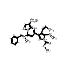 C=Nc1c(/C=C\C)c(-c2cc(N(C)Cc3ccccc3)n3ncc(C(=O)OCC)c3n2)cn1C(=O)OC(C)(C)C